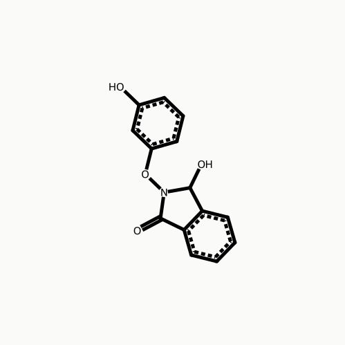 O=C1c2ccccc2C(O)N1Oc1cccc(O)c1